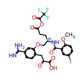 COc1ccc(I)cc1C(=O)N[C@H](CCC(=O)OC(=O)C(F)(F)F)COc1cc(C(=N)N)ccc1CC(=O)C(=O)O